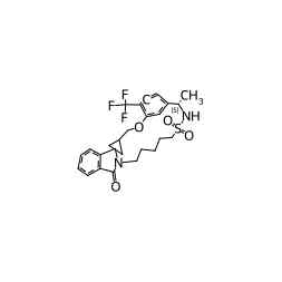 C[C@H](NS(=O)(=O)CCCCCN1Cc2ccccc2C1=O)c1ccc(C(F)(F)F)c(OCC2CC2)c1